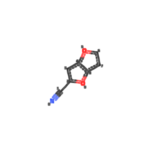 N#Cc1cc2occc2o1